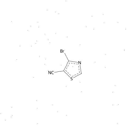 N#Cc1scnc1Br